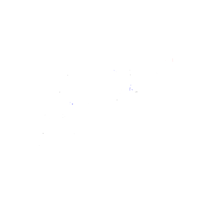 CC(C)(C)OC(=O)N1CCC=C(c2nc(CCO)no2)C1